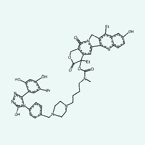 CCc1c2c(nc3ccc(O)cc13)-c1cc3c(c(=O)n1C2)COC(=O)C3(CC)OC(=O)N(C)CCCCN1CCN(Cc2ccc(-n3c(O)nnc3-c3cc(C(C)C)c(O)cc3O)cc2)CC1